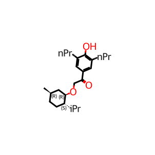 CCCc1cc(C(=O)CO[C@@H]2C[C@H](C)CC[C@H]2C(C)C)cc(CCC)c1O